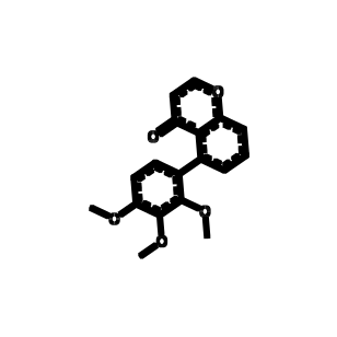 COc1ccc(-c2cccc3occc(=O)c23)c(OC)c1OC